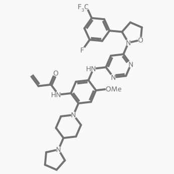 C=CC(=O)Nc1cc(Nc2cc(N3OCCC3c3cc(F)cc(C(F)(F)F)c3)ncn2)c(OC)cc1N1CCC(N2CCCC2)CC1